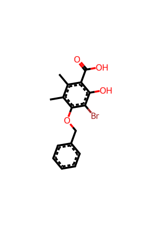 Cc1c(C)c(C(=O)O)c(O)c(Br)c1OCc1ccccc1